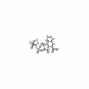 CC1(C)C2CCC1(CS(=O)(=O)ON1C(=O)c3c([N+](=O)[O-])cc4ccccc4c3C1=O)C(=O)C2